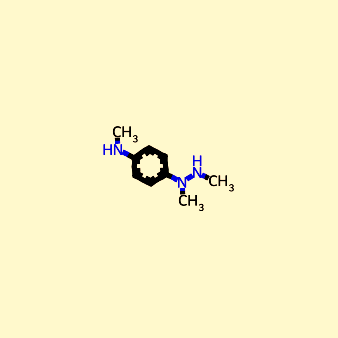 CNc1ccc(N(C)NC)cc1